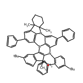 CC(C)(C)c1ccc2c(c1)C1=C(N(c3ccc(C(C)(C)C)cc3-c3ccccc3)c3cc(-c4ccccc4)cc4c3B1c1cc(-c3ccccc3)cc3c1N4C1(C)CCCCC31C)C2(C)C